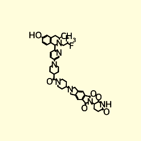 C[C@@H]1Cc2cc(O)ccc2C(c2ccc(N3CCC(C(=O)N4CCC(N5Cc6cc7c(cc6C5)C(=O)N(C5CCC(=O)NC5=O)C7=O)CC4)CC3)cn2)N1CC(F)F